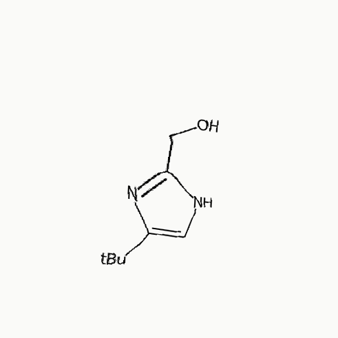 CC(C)(C)c1c[nH]c(CO)n1